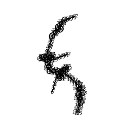 CCCCCCCCCCC(Oc1ccc(Oc2ccc(OC(CCCCCCCCCC)[Si](C)(O[Si](C)(C)C)O[Si](C)(CCCCCCCCCCCOc3ccc(C(=O)Oc4ccc(OCCCCCC)cc4)cc3)O[Si](C)(C)C)cc2)cc1)[Si](C)(O[Si](C)(C)C)O[Si](C)(CCCCCCCCCCCOc1ccc(C(=O)Oc2ccc(OCCCCCC)cc2)cc1)O[Si](C)(C)C